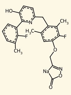 Cc1cccc(-c2nc(Cc3c(C)cc(OC[C]4=NO[C](=O)[Na]4)c(F)c3C)ccc2O)c1F